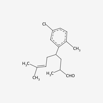 CC(C)=CCC(CC(C)C=O)c1cc(Cl)ccc1C